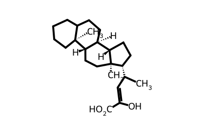 CC(C=C(O)C(=O)O)[C@H]1CC[C@H]2[C@@H]3CCC4CCCC[C@]4(C)[C@H]3CC[C@]12C